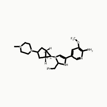 CC(C)CC1NC(c2cnc(N)c(OC(F)(F)F)c2)=CN1[C@H]1[C@@H]2CC(N3CCN(C)CC3)C[C@@H]21